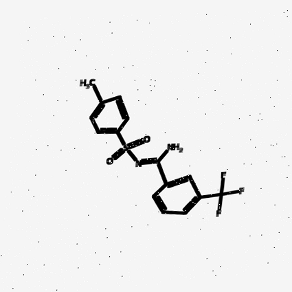 Cc1ccc(S(=O)(=O)N=C(N)c2cccc(C(F)(F)F)c2)cc1